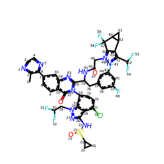 Cc1nccnc1-c1ccc2c(=O)n(-c3ccc(Cl)c4c(N[S+]([O-])C5CC5)nn(CC(F)F)c34)c(C(Cc3cc(F)cc(F)c3)NC(=O)Cn3nc(C(F)F)c4c3C(F)(F)C3CC43)nc2c1